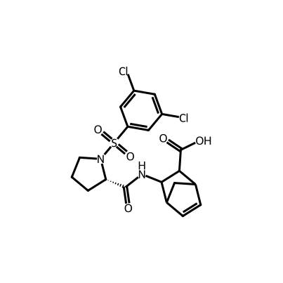 O=C(O)C1C2C=CC(C2)C1NC(=O)[C@@H]1CCCN1S(=O)(=O)c1cc(Cl)cc(Cl)c1